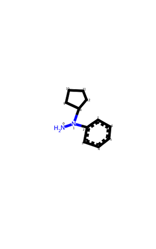 NN(c1ccccc1)C1CCCC1